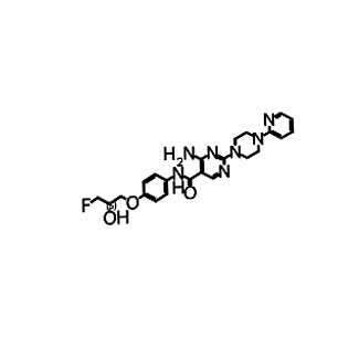 Nc1nc(N2CCN(c3ccccn3)CC2)ncc1C(=O)Nc1ccc(OC[C@H](O)CF)cc1